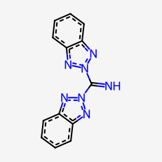 N=C(n1nc2ccccc2n1)n1nc2ccccc2n1